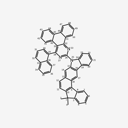 CC1(C)c2ccccc2-c2c1ccc1cc3c(cc21)c1ccccc1n3-c1nc(-c2cccc3ccccc23)c2c3ccccc3c3ccccc3c2n1